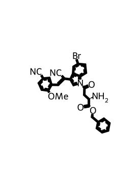 COc1ccc(C#N)cc1/C=C(\C#N)c1cn(C(=O)C[C@H](N)C(=O)OCc2ccccc2)c2ccc(Br)cc12